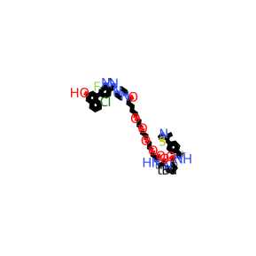 Cc1ncsc1-c1ccc([C@H](C)NC(=O)[C@@H]2CCCN2C(=O)[C@@H](NC(=O)COCCOCCOCCOCCCCC(=O)N2CCN(c3ncnc4c(F)c(-c5cc(O)cc6ccccc56)c(Cl)cc34)CC2)C(C)(C)C)cc1